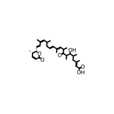 CC(=C/C(C)C/C=C/C(C)=C/C(C)C(=O)C(C)C(O)C(C)C/C(C)=C/C(=O)O)/C=C/[C@@H]1OC(=O)C=C[C@@H]1C